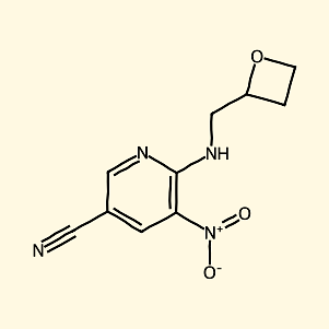 N#Cc1cnc(NCC2CCO2)c([N+](=O)[O-])c1